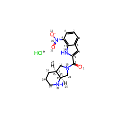 Cl.O=C(c1cc2cccc([N+](=O)[O-])c2[nH]1)N1C[C@@H]2CCCN[C@@H]2C1